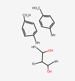 CCCC(O)C(CC)C(O)CCC.CCCc1ccc(C(=O)O)cc1.CCCc1ccc(C(=O)O)cc1